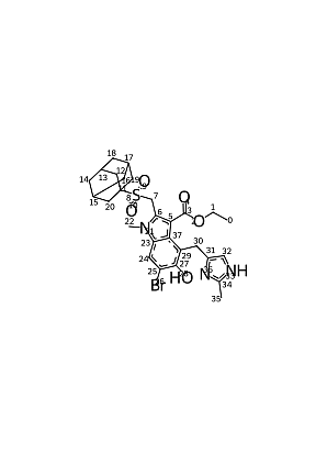 CCOC(=O)c1c(CS(=O)(=O)C23CC4CC(CC(C4)C2)C3)n(C)c2cc(Br)c(O)c(Cc3c[nH]c(C)n3)c12